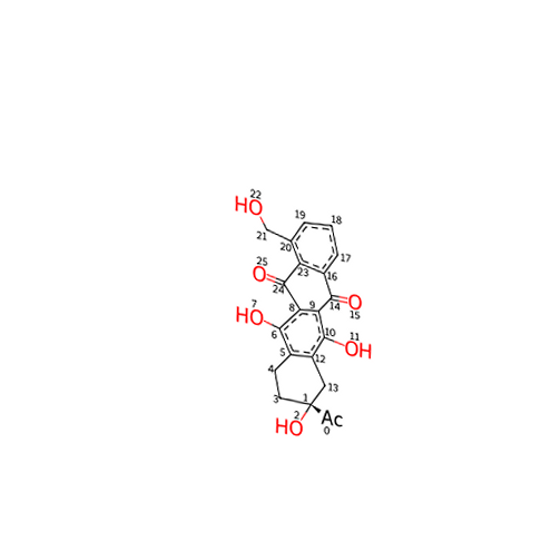 CC(=O)[C@@]1(O)CCc2c(O)c3c(c(O)c2C1)C(=O)c1cccc(CO)c1C3=O